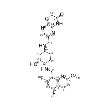 COc1ccc2c(F)cc(F)c(CN[C@H]3CC[C@H](NCc4cnc5c(n4)NC(=O)CO5)C[C@H]3O)c2n1